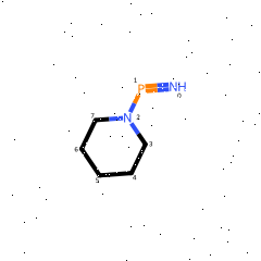 N=PN1CCCCC1